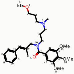 CCOCCCN(C)CCCN(C/C(C)=C/c1ccccc1)C(=O)c1cc(OC)c(OC)c(OC)c1